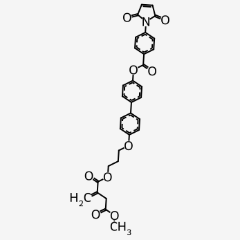 C=C(CC(=O)OC)C(=O)OCCCOc1ccc(-c2ccc(OC(=O)c3ccc(N4C(=O)C=CC4=O)cc3)cc2)cc1